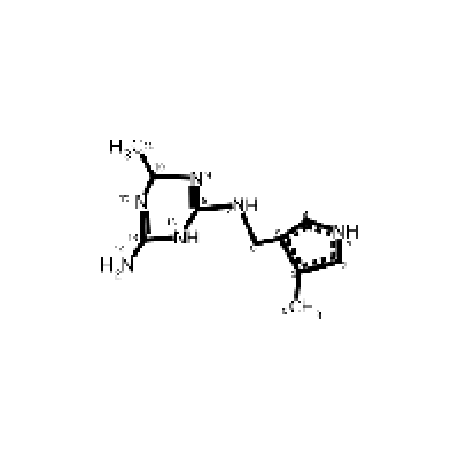 Cc1c[nH]cc1CNC1=NC(C)N=C(N)N1